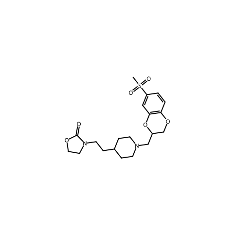 CS(=O)(=O)c1ccc2c(c1)OC(CN1CCC(CCN3CCOC3=O)CC1)CO2